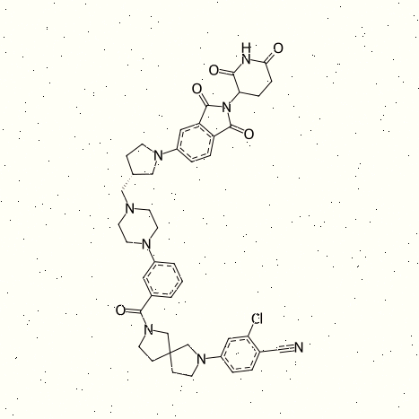 N#Cc1ccc(N2CCC3(CCN(C(=O)c4cccc(N5CCN(C[C@@H]6CCN(c7ccc8c(c7)C(=O)N(C7CCC(=O)NC7=O)C8=O)C6)CC5)c4)C3)C2)cc1Cl